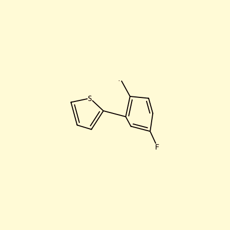 [CH2]c1ccc(F)cc1-c1cccs1